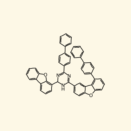 c1ccc(-c2ccc(C3=NC(c4cccc5c4oc4ccccc45)NC(c4ccc5oc6cccc(-c7ccc(-c8ccccc8)cc7)c6c5c4)=N3)cc2)cc1